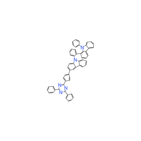 c1ccc(-c2nc(-c3ccccc3)nc(-c3ccc(-c4ccc5c(c4)c4ccccc4n5-c4ccccc4-c4cccc5c6ccccc6n(-c6ccccc6)c45)cc3)n2)cc1